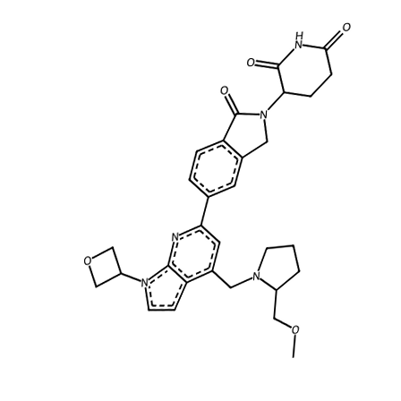 COCC1CCCN1Cc1cc(-c2ccc3c(c2)CN(C2CCC(=O)NC2=O)C3=O)nc2c1ccn2C1COC1